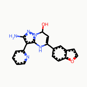 Nc1nn2c(c1-c1ccccn1)NC(c1ccc3occc3c1)=CC2O